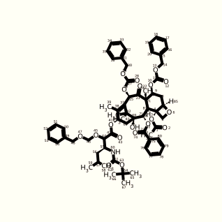 CC(=O)O[C@@]12CO[C@@H]1C[C@H](OC(=O)OCc1ccccc1)[C@@]1(C)C(=O)[C@H](OC(=O)OCc3ccccc3)C3=C(C)[C@@H](OC(=O)C(OCOCc4ccccc4)[C@H](CC(C)C)NC(=O)OC(C)(C)C)C[C@@](O)([C@@H](OC(=O)c4ccccc4)[C@H]21)C3(C)C